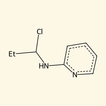 CCC(Cl)Nc1ccccn1